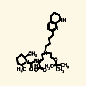 C[C@@H]1CCC[C@@H](C)N1C(=O)NC(CCN(CCCCc1ccc2c(n1)NCCC2)CCOC(C)(C)C)C(=O)O